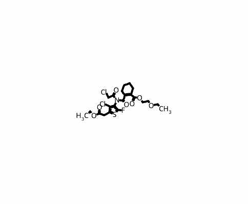 CCOCCOC(=O)C1=C(C(=O)N(C(=O)CCl)c2c(F)sc(CC(=O)OCC)c2Cl)CCCC1